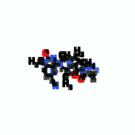 CC[C@@H]1CN(c2nc(=O)n(C)c3ccc(C#N)nc23)[C@@H](C)CN1C(C(=O)N(N)C(=O)C1CC1)C(C)C